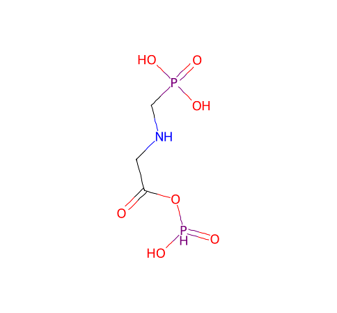 O=C(CNCP(=O)(O)O)O[PH](=O)O